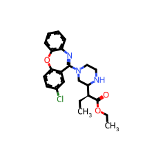 CCOC(=O)[C@@H](CC)C1CN(C2=Nc3ccccc3Oc3ccc(Cl)cc32)CCN1